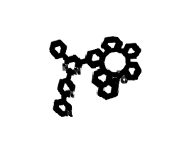 O=S1(=O)c2ccccc2-c2ccccc2-c2ccccc2-c2ccc(-c3cc(-c4ccccc4)nc(-c4ccc(-c5cccnc5)nc4)n3)cc2-c2ccc3ccccc3c21